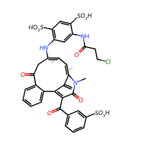 C=c1c2c(C(=O)c3cccc(S(=O)(=O)O)c3)c(=O)n(C)/c1=C/C=C(/Nc1cc(NC(=O)CCCl)c(S(=O)(=O)O)cc1S(=O)(=O)O)CC(=O)c1ccccc1-2